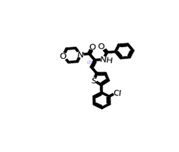 O=C(N/C(=C\c1ccc(-c2ccccc2Cl)s1)C(=O)N1CCOCC1)c1ccccc1